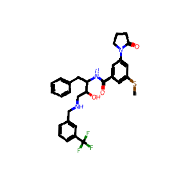 CSc1cc(C(=O)NC(Cc2ccccc2)C(O)CNCc2cccc(C(F)(F)F)c2)cc(N2CCCC2=O)c1